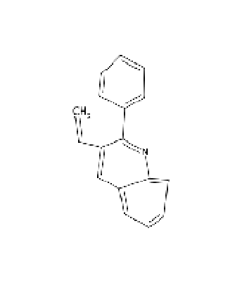 C=Cc1cc2ccccc2nc1-c1ccccc1